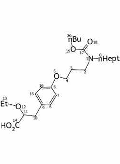 CCCCCCCN(CCCOc1ccc(CC(OCC)C(=O)O)cc1)C(=O)OCCCC